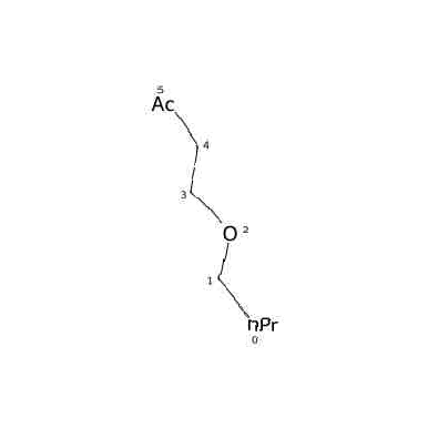 CCCCOCCC(C)=O